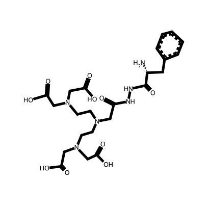 N[C@H](Cc1ccccc1)C(=O)NNC(=O)CN(CCN(CC(=O)O)CC(=O)O)CCN(CC(=O)O)CC(=O)O